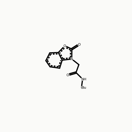 CC(C)(C)NC(=O)Cn1c(=O)oc2ccccc21